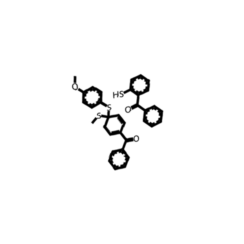 COc1ccc(SC2(SC)C=CC(C(=O)c3ccccc3)=CC2)cc1.O=C(c1ccccc1)c1ccccc1S